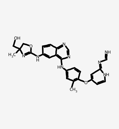 Cc1cc(Nc2ncnc3ccc(NC4=NC(C)(CO)CO4)cc23)ccc1Oc1cc[nH]/c(=N\C=N)c1